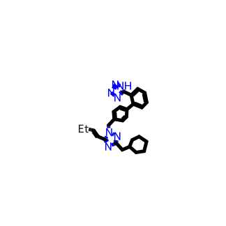 CCC=Cc1nc(CC2CCCCC2)nn1Cc1ccc(-c2ccccc2-c2nnn[nH]2)cc1